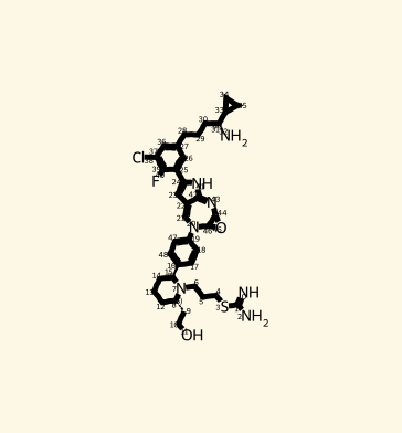 N=C(N)SCCCN1[C@H](CCO)CCC[C@H]1c1ccc(N2C=c3cc(-c4cc(CCC[C@@H](N)C5CC5)cc(Cl)c4F)[nH]c3=NC3OC32)cc1